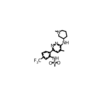 Cc1cc(-c2ccc(C(F)(F)F)cc2NS(C)(=O)=O)nnc1N[C@@H]1CCCN(C)C1